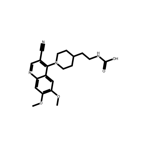 COc1cc2ncc(C#N)c(N3CCC(CCNC(=O)O)CC3)c2cc1OC